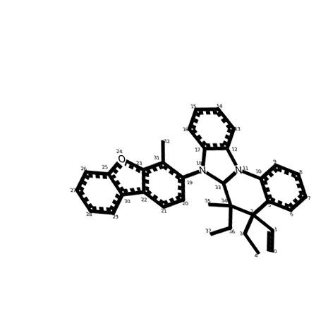 C=CC1(CC)c2ccccc2N2c3ccccc3N(c3ccc4c(oc5ccccc54)c3C)C2C1(C)CC